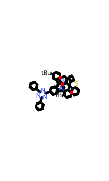 CC(C)(C)c1ccc2c(c1)c1cc(C(C)(C)C)ccc1n2-c1cccc2c1C1(c3ccccc3S2)c2ccccc2N(c2ccc(-c3nc(-c4ccccc4)nc(-c4ccccc4)n3)cc2)c2ccccc21